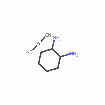 N#[C][Pd][C]#N.NC1CCCCC1N